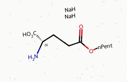 CCCCCOC(=O)CC[C@H](N)C(=O)O.[NaH].[NaH]